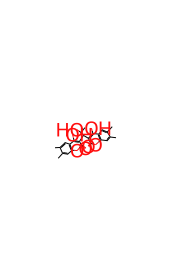 Cc1cc2oc(=O)c(C(c3c(O)c4cc(C)c(C)cc4oc3=O)C(C)O)c(O)c2cc1C